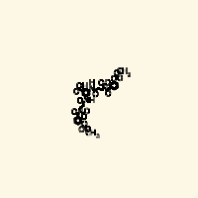 COC(=O)Oc1cccc2c(=O)n(CCC(=O)Nc3cc(NC(=O)CCn4c(=O)oc5c(OC(=O)OC)cccc5c4=O)cc(C(=O)O)c3)c(=O)oc12